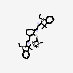 CCN1/C(=C/C=C2\CCCC(/C=C/C3=[N+](CC)c4ccccc4C3(C)C)=C2Sc2nnnn2C)C(C)(C)c2ccccc21